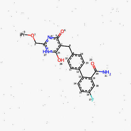 CC(C)OCc1nc(=O)c(Cc2ccc(-c3ccc(F)cc3C(N)=O)cc2)c(O)[nH]1